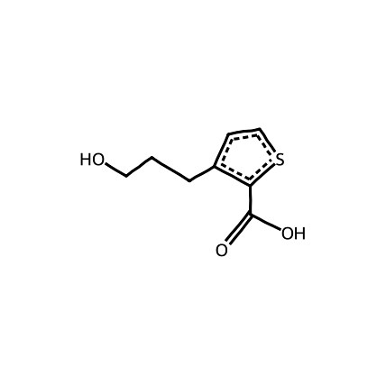 O=C(O)c1sccc1CCCO